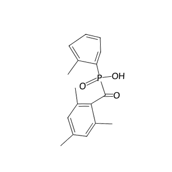 Cc1cc(C)c(C(=O)P(=O)(O)c2ccccc2C)c(C)c1